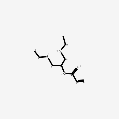 C=CC(=O)OC(CSCC)CSCC